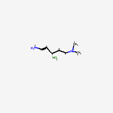 CN(C)CCCC=CN.Cl